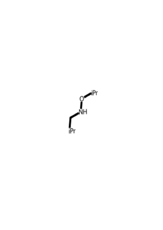 CC(C)CNOC(C)C